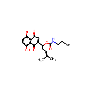 CC(=O)CCNC(=O)OC(CC=C(C)C)C1=CC(=O)c2c(O)ccc(O)c2C1=O